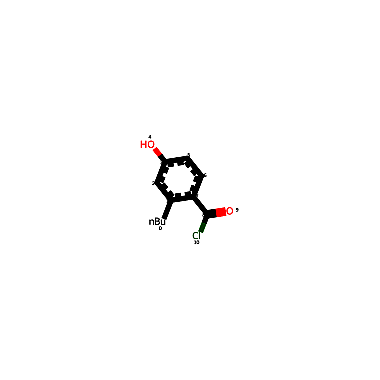 CCCCc1cc(O)ccc1C(=O)Cl